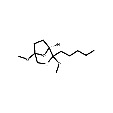 CCCCCC1(OC)OCC2(OC)CC[C@@H]1O2